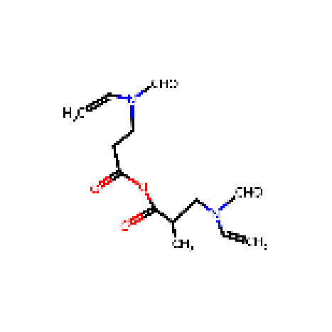 C=CN(C=O)CCC(=O)OC(=O)C(C)CN(C=C)C=O